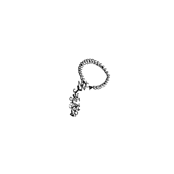 C[C@@H](C(=O)Nc1csc(-c2cnc(N3CCCCCCCCCCCCCCCCCCCCCCCCCCCCC4CC4C3)nc2)n1)n1cnc2c1c(=O)n(CC1CCO1)c(=O)n2C